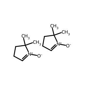 CC1(C)CCC=[N+]1[O-].CC1(C)CCC=[N+]1[O-]